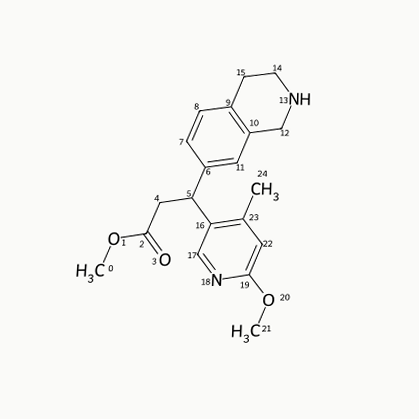 COC(=O)CC(c1ccc2c(c1)CNCC2)c1cnc(OC)cc1C